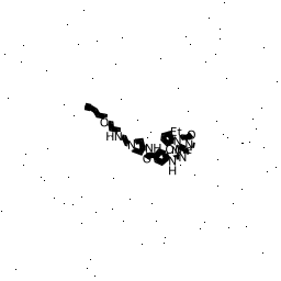 C#CCCCOCCCNCCN1CCC(NC(=O)c2ccc(Nc3ncc4c(n3)N(C3CCCC3)[C@H](CC)C(=O)N4C)c(OC)c2)CC1